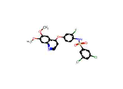 COc1cc2nccc(Oc3ccc(NS(=O)(=O)c4cc(Cl)cc(Cl)c4)c(F)c3)c2cc1OC